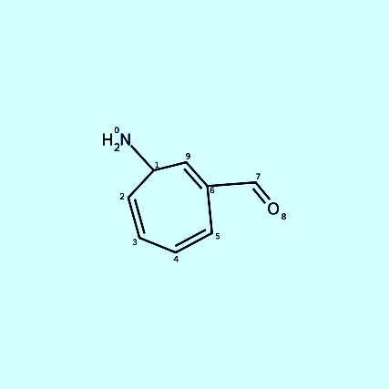 NC1C=CC=CC(C=O)=C1